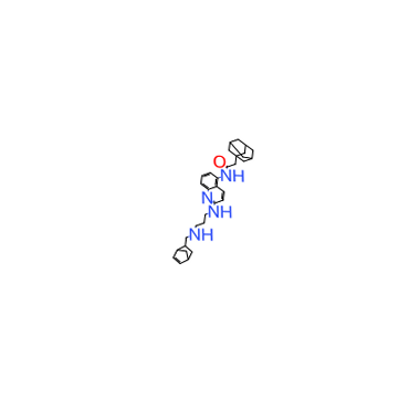 O=C(CC12CC3CC(CC(C3)C1)C2)Nc1cccc2nc(NCCCNCC3CC4C=CC3C4)ccc12